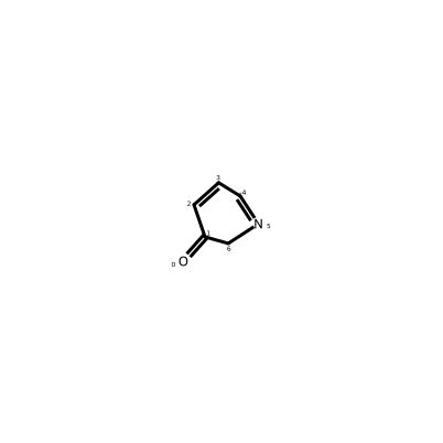 O=C1C=C[C]=NC1